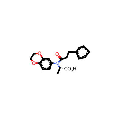 C[C@@H](C(=O)O)N(C(=O)CCc1ccccc1)c1ccc2c(c1)OCCO2